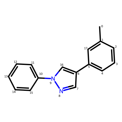 Cc1cccc(-c2cnn(-c3ccccc3)c2)c1